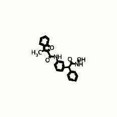 Cc1c(C(=O)Nc2cccc(C(C(=O)NO)c3ccccc3)c2)oc2ccccc12